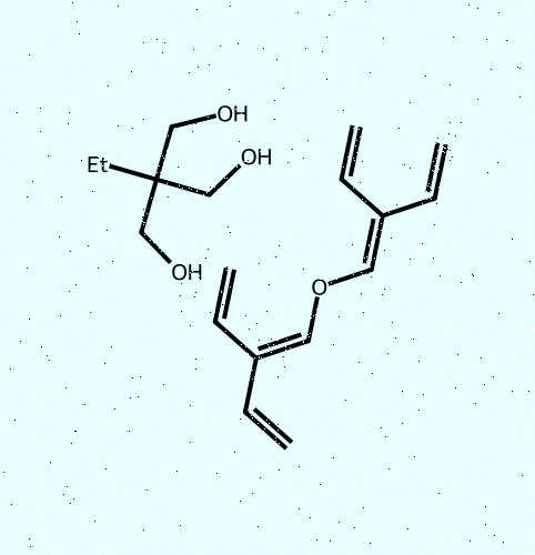 C=CC(C=C)=COC=C(C=C)C=C.CCC(CO)(CO)CO